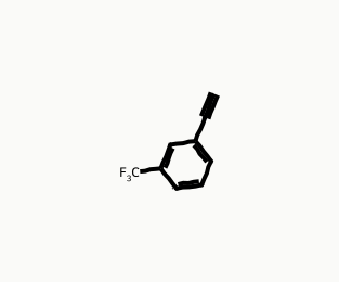 C#Cc1cc[c]c(C(F)(F)F)c1